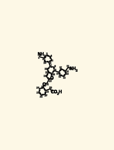 NCc1cccc(-c2cc(-c3cccc(CN)c3)c3oc(COc4ccccc4CC(=O)O)cc3c2)c1